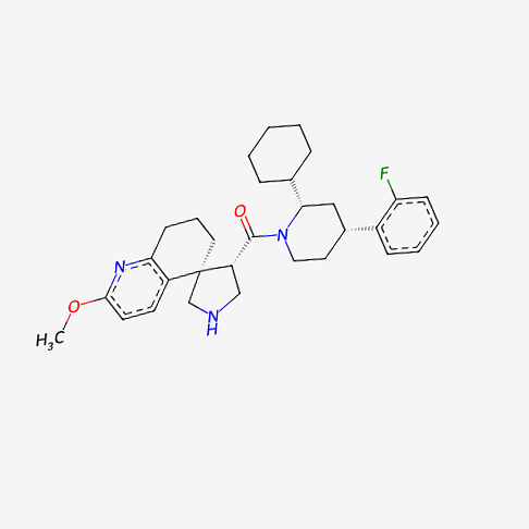 COc1ccc2c(n1)CCC[C@]21CNC[C@H]1C(=O)N1CC[C@@H](c2ccccc2F)C[C@H]1C1CCCCC1